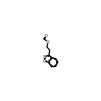 O=COCCc1noc2ccccc12